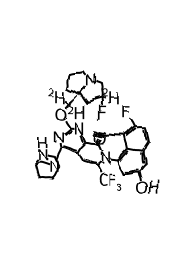 [2H]C([2H])(Oc1nc(N2CC3CCC2CN3)c2cc(C(F)(F)F)n(-c3cc(O)cc4ccc(F)c(C#C)c34)c(=O)c2n1)[C@@]12CCCN1C[C@]([2H])(F)C2